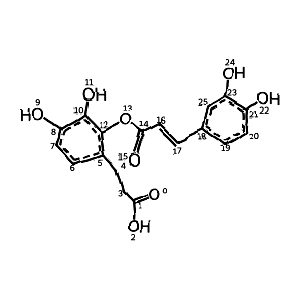 O=C(O)CCc1ccc(O)c(O)c1OC(=O)C=Cc1ccc(O)c(O)c1